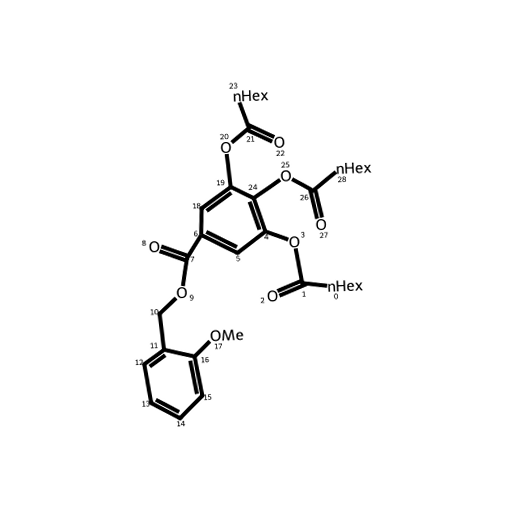 CCCCCCC(=O)Oc1cc(C(=O)OCc2ccccc2OC)cc(OC(=O)CCCCCC)c1OC(=O)CCCCCC